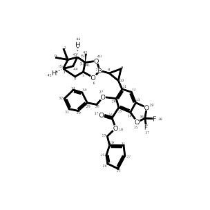 CC1(C)[C@@H]2CC3OB(C4CC4c4cc5c(c(C(=O)OCc6ccccc6)c4OCc4ccccc4)OC(F)(F)O5)O[C@@]3(C)[C@H]1C2